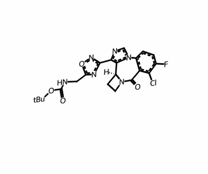 CC(C)(C)OC(=O)NCc1nc(-c2ncn3c2[C@@H]2CCN2C(=O)c2c-3ccc(F)c2Cl)no1